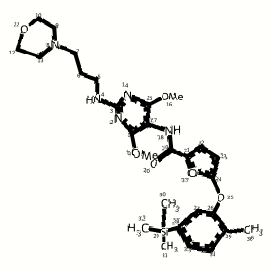 COc1nc(NCCCN2CCOCC2)nc(OC)c1NC(=O)c1ccc(Oc2cc([Si](C)(C)C)ccc2C)o1